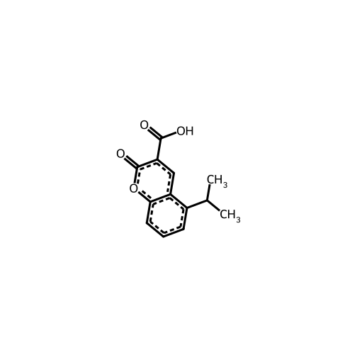 CC(C)c1cccc2oc(=O)c(C(=O)O)cc12